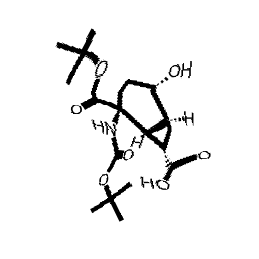 CC(C)(C)OC(=O)N[C@@]1(C(=O)OC(C)(C)C)C[C@H](O)[C@H]2[C@H](C(=O)O)[C@H]21